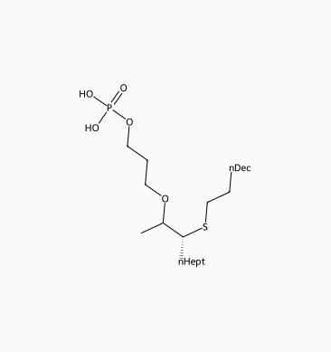 CCCCCCCCCCCCS[C@H](CCCCCCC)C(C)OCCCOP(=O)(O)O